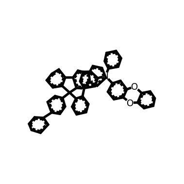 c1ccc(-c2ccc(C3(c4ccccc4-c4cccc(N(c5ccccc5)c5ccc6c(c5)Oc5ccccc5O6)c4)c4ccccc4-c4cc5ccccc5cc43)cc2)cc1